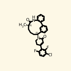 C[C@@H]1CCC[C@H](N2CCC(c3c(F)ccc(Cl)c3F)=CC2=O)c2cccc(c2)-c2ccccc2NC1=O